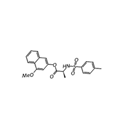 COc1cc(OC(=O)[C@H](C)NS(=O)(=O)c2ccc(C)cc2)cc2ccccc12